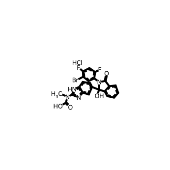 CN(C(=O)O)c1nc2cc(C3(O)c4ccccc4C(=O)N3c3cc(Br)c(F)cc3F)ccc2[nH]1.Cl